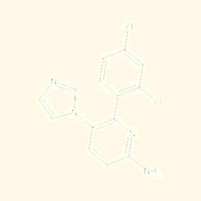 Nc1ccc(-n2ccnc2)c(-c2ccc(Cl)cc2Cl)n1